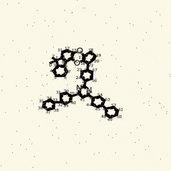 CC1(C)c2ccccc2-c2c1ccc1c2Oc2c(cccc2-c2ccc(-c3nc(-c4ccc(-c5ccccc5)cc4)cc(-c4ccc(-c5ccccc5)cc4)n3)cc2)O1